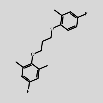 Cc1cc(F)ccc1OCCCOc1c(C)cc(F)cc1C